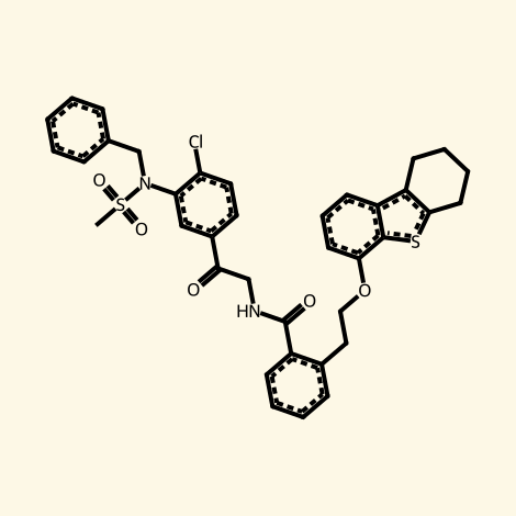 CS(=O)(=O)N(Cc1ccccc1)c1cc(C(=O)CNC(=O)c2ccccc2CCOc2cccc3c4c(sc23)CCCC4)ccc1Cl